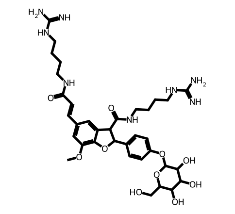 COc1cc(C=CC(=O)NCCCCNC(=N)N)cc2c1OC(c1ccc(OC3OC(CO)C(O)C(O)C3O)cc1)C2C(=O)NCCCCNC(=N)N